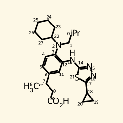 CC(C)CN(c1ccc([C@@H](C)CC(=O)O)cc1Nc1nnc(C2CC2)s1)C1CCCCC1